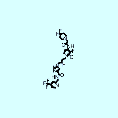 O=C(CN1CCC(F)(F)CC1)Nc1ccn(CCC(F)Cn2cc(C(=O)NCc3cc(C(F)(F)F)ccn3)nn2)c(=O)c1F